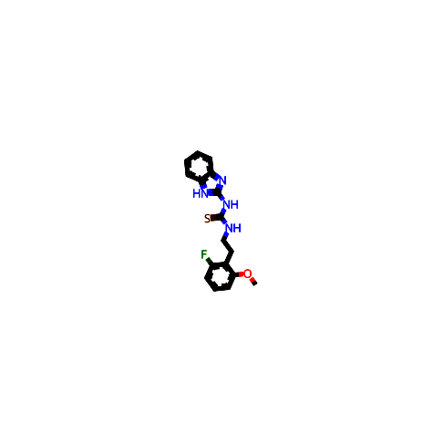 COc1cccc(F)c1CCNC(=S)Nc1nc2ccccc2[nH]1